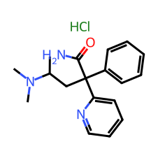 CC(CC(C(N)=O)(c1ccccc1)c1ccccn1)N(C)C.Cl